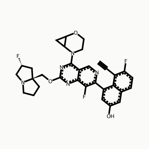 C#Cc1c(F)ccc2cc(O)cc(-c3ncc4c(N5CCOC6CC65)nc(OC[C@@]56CCCN5C[C@H](F)C6)nc4c3F)c12